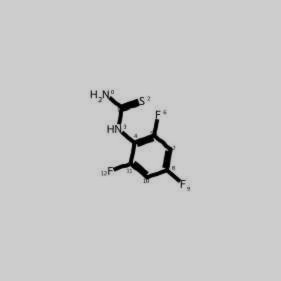 NC(=S)Nc1c(F)cc(F)cc1F